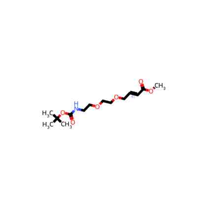 COC(=O)/C=C/COCCOCCNC(=O)OC(C)(C)C